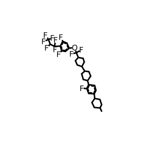 CC1CCC(c2ccc(C3CCC(C4CCC(C(F)(F)Oc5cc(F)c(C(F)(F)C(F)C(F)(F)F)c(F)c5)CC4)CC3)c(F)c2)CC1